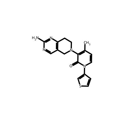 Cc1ccn(-c2ccsc2)c(=O)c1N1CCc2nc(N)ncc2C1